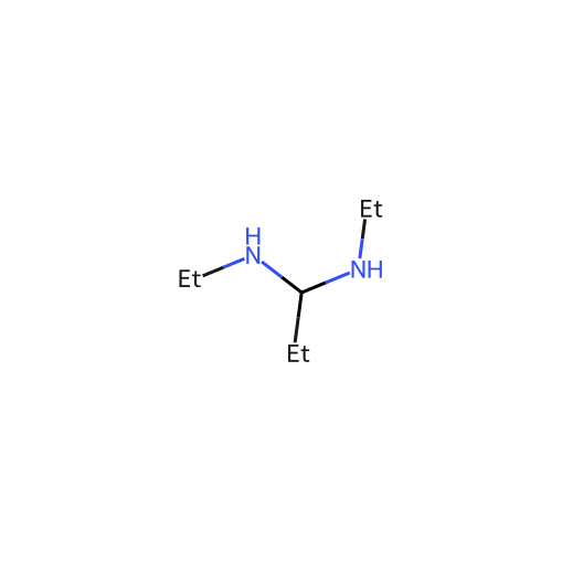 CCNC(CC)NCC